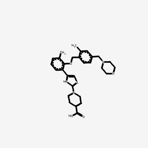 Cc1cc(CN2CCOCC2)ccc1COc1c(C)cccc1C1=CSC(N2CCC(C(=O)O)CC2)N1